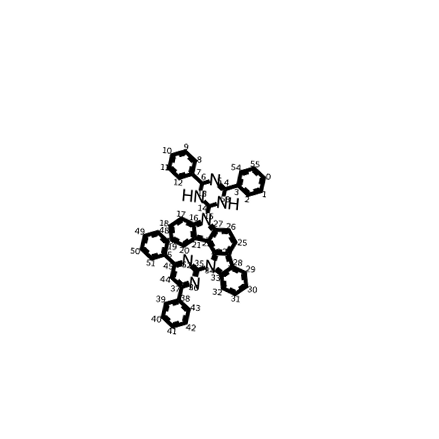 c1ccc(C2=NC(c3ccccc3)NC(n3c4ccccc4c4c5c(ccc43)c3ccccc3n5-c3nc(-c4ccccc4)cc(-c4ccccc4)n3)N2)cc1